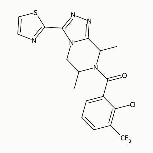 CC1Cn2c(-c3nccs3)nnc2C(C)N1C(=O)c1cccc(C(F)(F)F)c1Cl